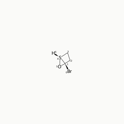 Br[C@]12[CH]C[S@H]1O2